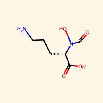 NCCC[C@@H](C(=O)O)N(O)C=O